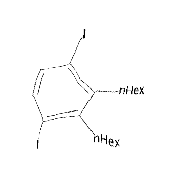 CCCCCCc1c(I)ccc(I)c1CCCCCC